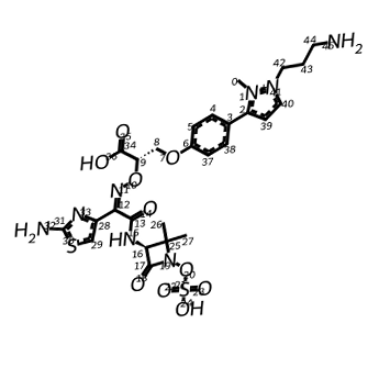 C[n+]1c(-c2ccc(OC[C@H](O/N=C(\C(=O)N[C@@H]3C(=O)N(OS(=O)(=O)O)C3(C)C)c3csc(N)n3)C(=O)O)cc2)ccn1CCCN